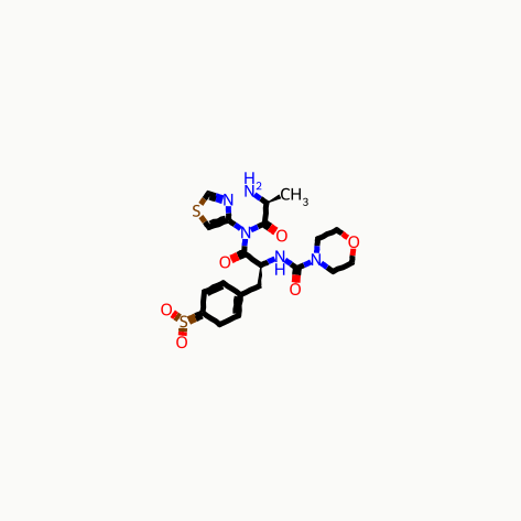 C[C@H](N)C(=O)N(C(=O)[C@H](CC1=CCC(=S(=O)=O)C=C1)NC(=O)N1CCOCC1)c1cscn1